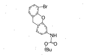 CC(C)(C)OC(=O)Nc1ccc2c(c1)Oc1c(Br)cccc1C2